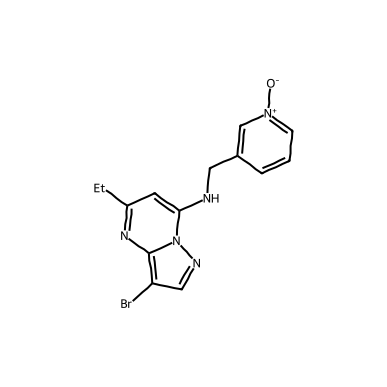 CCc1cc(NCc2ccc[n+]([O-])c2)n2ncc(Br)c2n1